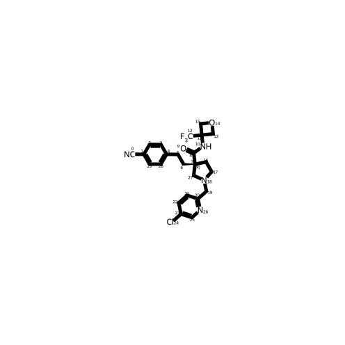 N#Cc1ccc(CC[C@@]2(C(=O)NC3(C(F)(F)F)COC3)CCN(Cc3ccc(Cl)cn3)C2)cc1